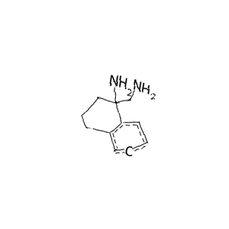 NCC1(N)CCCc2ccccc21